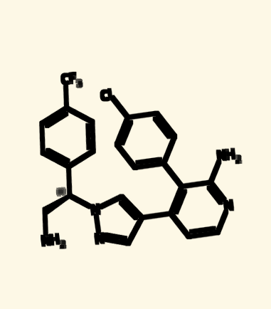 NC[C@@H](c1ccc(C(F)(F)F)cc1)n1cc(-c2ccnc(N)c2-c2ccc(Cl)cc2)cn1